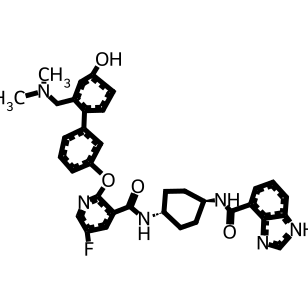 CN(C)Cc1cc(O)ccc1-c1cccc(Oc2ncc(F)cc2C(=O)N[C@H]2CC[C@H](NC(=O)c3cccc4[nH]cnc34)CC2)c1